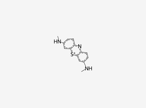 CNc1ccc2nc3ccc(NC)cc3[s+]c2c1